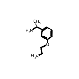 C[C@@H](N)c1cccc(OCCN)c1